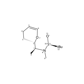 C[C@@H]([C@@H]1CCC=CO1)N(C)[S@@+]([O-])C(C)(C)C